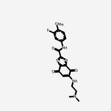 COc1ccc(NC(=O)c2nc3c(s2)C(=O)C=C(NCCN(C)C)C3=O)cc1F